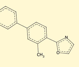 Cc1cc(-c2ccccc2)ccc1-c1ncco1